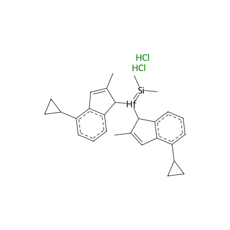 CC1=Cc2c(C3CC3)cccc2[CH]1[Hf]([CH]1C(C)=Cc2c(C3CC3)cccc21)=[Si](C)C.Cl.Cl